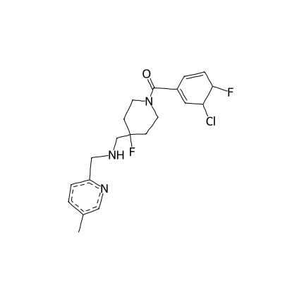 Cc1ccc(CNCC2(F)CCN(C(=O)C3=CC(Cl)C(F)C=C3)CC2)nc1